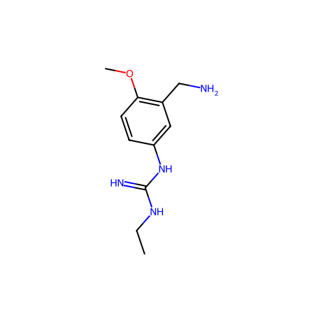 CCNC(=N)Nc1ccc(OC)c(CN)c1